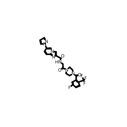 O=C(NCC(=O)N1CCN(C(=O)c2cc(F)ccc2C(F)(F)F)CC1)c1cn2cc(-n3cccn3)ccc2n1